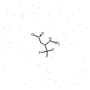 NNC(C[N+](=O)[O-])C(F)(F)F